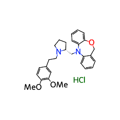 COc1ccc(CCN2CCC[C@@H]2CN2c3ccccc3COc3ccccc32)cc1OC.Cl